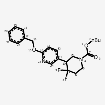 CCCCOC(=O)N1CCC(F)(F)C(c2ccc(OCc3ccccc3)nc2)C1